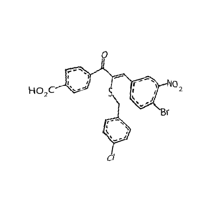 O=C(O)c1ccc(C(=O)C(=Cc2ccc(Br)c([N+](=O)[O-])c2)SCc2ccc(Cl)cc2)cc1